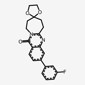 O=c1c2ccc(-c3cccc(F)c3)cc2nc2n1CCC1(CC2)OCCO1